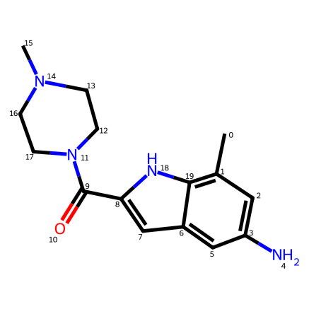 Cc1cc(N)cc2cc(C(=O)N3CCN(C)CC3)[nH]c12